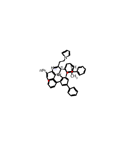 CCCc1cccc(CCC)c1/N=C(/CCn1cccc1)[C@@H](CCC(C)(C)c1ccccc1)Oc1c(-c2ccccc2)cc(-c2ccccc2)cc1-c1ccccc1